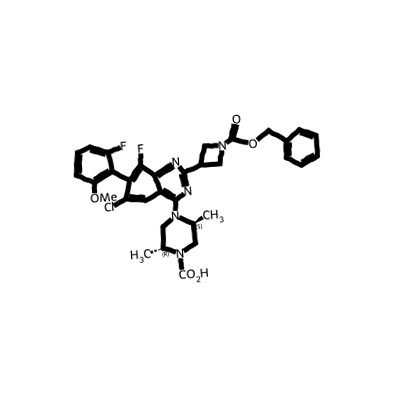 COc1cccc(F)c1-c1c(Cl)cc2c(N3C[C@@H](C)N(C(=O)O)C[C@@H]3C)nc(C3CN(C(=O)OCc4ccccc4)C3)nc2c1F